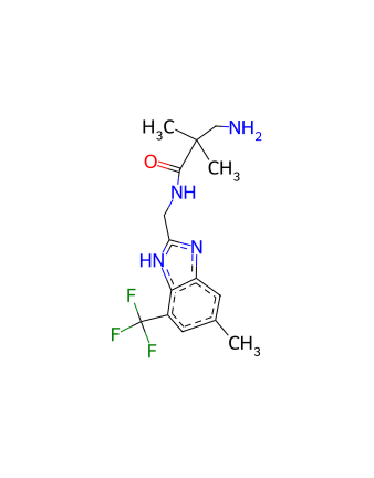 Cc1cc(C(F)(F)F)c2[nH]c(CNC(=O)C(C)(C)CN)nc2c1